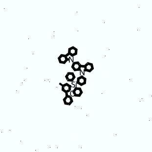 Cc1cc([Si](c2ccccc2)(c2ccccc2)c2cccc(-n3c4ccccc4c4cc(-n5c6ccccc6c6ccccc65)ccc43)c2)c2oc3ccccc3c2c1